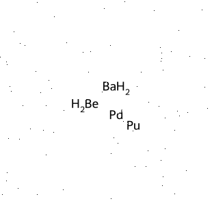 [BaH2].[BeH2].[Pd].[Pu]